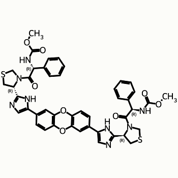 COC(=O)N[C@@H](C(=O)N1CSC[C@H]1c1ncc(-c2ccc3c(c2)Oc2ccc(-c4cnc([C@@H]5CSCN5C(=O)[C@H](NC(=O)OC)c5ccccc5)[nH]4)cc2O3)[nH]1)c1ccccc1